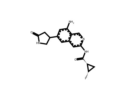 Nc1cc(C2CNC(=O)C2)cc2cc(NC(=O)[C@@H]3C[C@@H]3F)ncc12